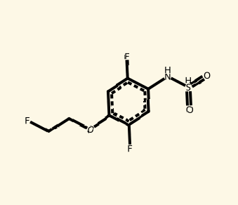 O=[SH](=O)Nc1cc(F)c(OCCF)cc1F